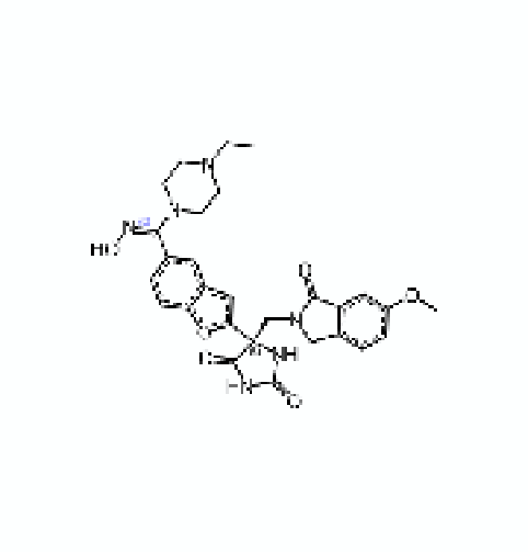 CCN1CCN(/C(=N/O)c2ccc3oc([C@]4(CN5Cc6ccc(OC)cc6C5=O)NC(=O)NC4=O)cc3c2)CC1